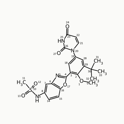 COc1c(-c2nc3cc(NS(C)(=O)=O)ccc3o2)cc(-n2ccc(=O)[nH]c2=O)cc1C(C)(C)C